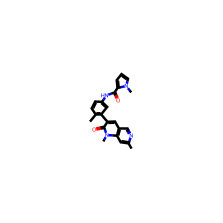 Cc1cc2c(cn1)cc(-c1cc(NC(=O)c3cccn3C)ccc1C)c(=O)n2C